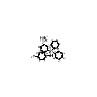 Br.Br.Fc1ccc(C[PH](c2ccccc2)(c2ccccc2)c2ccccc2)cc1